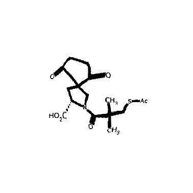 CC(=O)SCC(C)(C)C(=O)N1CC2(C[C@H]1C(=O)O)C(=O)CCC2=O